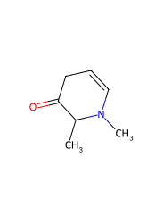 CC1C(=O)CC=CN1C